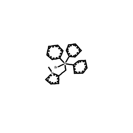 Cn1cccc1CP(Br)(c1ccccc1)(c1ccccc1)c1ccccc1